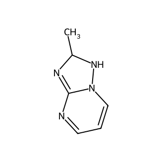 CC1N=C2N=CC=CN2N1